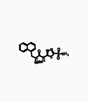 CN[C@@H](Cc1cccc2ccccc12)C(=O)Nc1nnc(S(N)(=O)=O)s1